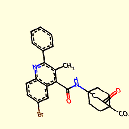 CCOC(=O)C12CCC(NC(=O)c3c(C)c(-c4ccccc4)nc4ccc(Br)cc34)(CC1)CC2=O